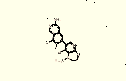 CCc1c(-c2cc3cc(N)ncc3c(Cl)c2F)cnc2c1N(C(=O)O)CCO2